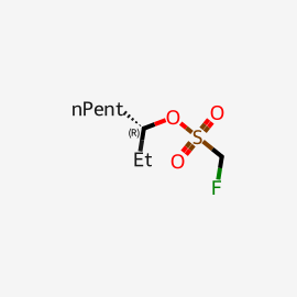 CCCCC[C@@H](CC)OS(=O)(=O)CF